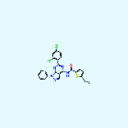 O=C(Nc1nc(-c2ccc(Cl)cc2Cl)nc2c1cnn2-c1ccccc1)c1ccc([N+](=O)[O-])s1